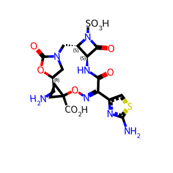 NC[C@@H]1CN(C[C@H]2[C@H](NC(=O)C(=NOC3(C(=O)O)CC3)c3csc(N)n3)C(=O)N2S(=O)(=O)O)C(=O)O1